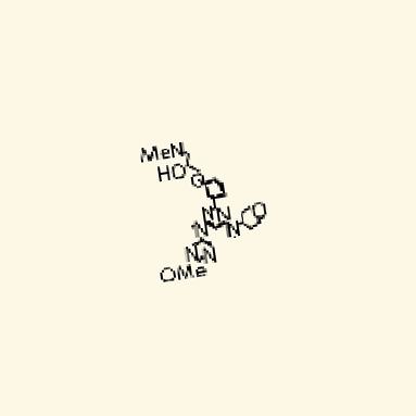 CNCC(O)COc1cccc(-c2nc(N(C)c3cnc(OC)nc3)cc(N(C)C3CCOCC3)n2)c1